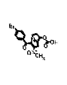 C[S+]([O-])c1cc2n(c1C(=O)c1ccc(Br)cc1)CCC2OC(=O)O